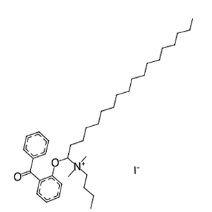 CCCCCCCCCCCCCCCCCC(Oc1ccccc1C(=O)c1ccccc1)[N+](C)(C)CCCC.[I-]